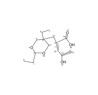 CCC1OCC(CC)(C/C(=C/C(=O)O)C(=O)O)CO1